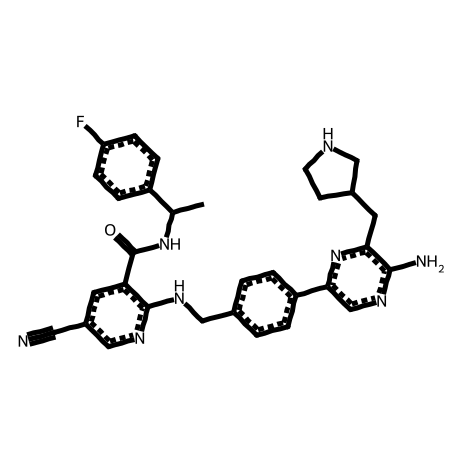 CC(NC(=O)c1cc(C#N)cnc1NCc1ccc(-c2cnc(N)c(CC3CCNC3)n2)cc1)c1ccc(F)cc1